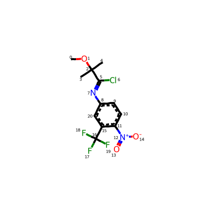 COC(C)(C)C(Cl)=Nc1ccc([N+](=O)[O-])c(C(F)(F)F)c1